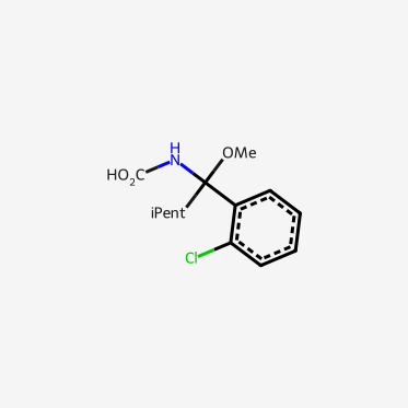 CCCC(C)C(NC(=O)O)(OC)c1ccccc1Cl